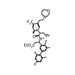 C=C1C=C(C(F)(F)F)C(CCN2CCCOCC2)=CN1C(CC(C)C)C(=O)[N+](=C)C(CC(=O)OCC)c1cc(-c2c(C)cc(F)cc2C)cc(C)c1F